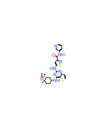 CCO[C@]1(C)CC[C@@H](Nc2nc(Nc3cc(C(=O)Nc4cccnc4)ns3)nc3ccsc23)CC1